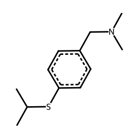 CC(C)Sc1ccc(CN(C)C)cc1